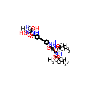 C[C@@H](O)[C@H](NC(=O)c1ccc(C#Cc2ccc(NC(=O)[C@@H](CCCNC(=O)OC(C)(C)C)NC(=O)OC(C)(C)C)cc2)cc1)C(=O)NO